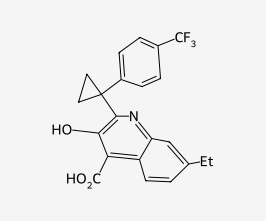 CCc1ccc2c(C(=O)O)c(O)c(C3(c4ccc(C(F)(F)F)cc4)CC3)nc2c1